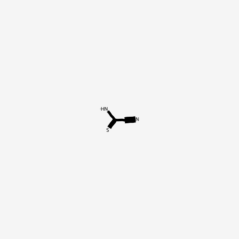 N#CC([NH])=S